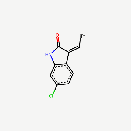 CC(C)C=C1C(=O)Nc2cc(Cl)ccc21